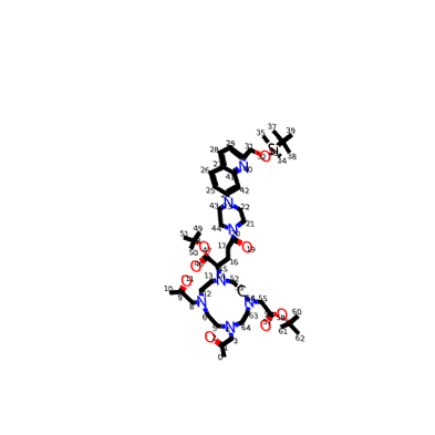 CC(=O)CN1CCN(CC(C)=O)CCN(C(CCC(=O)N2CCN(c3ccc4ccc(CO[Si](C)(C)C(C)(C)C)nc4c3)CC2)C(=O)OC(C)(C)C)CCN(CC(=O)OC(C)(C)C)CC1